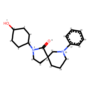 O=C1N(C2CCC(O)CC2)CC[C@@]12CCCN(c1[c]cccc1)C2